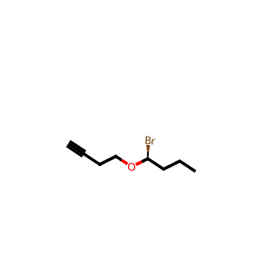 C#CCCO[C@@H](Br)CCC